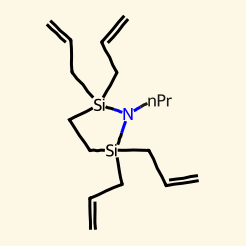 [CH2]CCN1[Si](CC=C)(CC=C)CC[Si]1(CC=C)CC=C